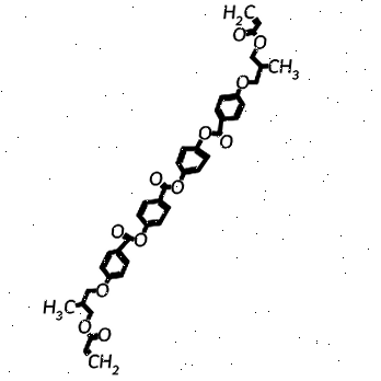 C=CC(=O)OCC(C)COc1ccc(C(=O)Oc2ccc(OC(=O)c3ccc(OC(=O)c4ccc(OCC(C)COC(=O)C=C)cc4)cc3)cc2)cc1